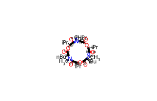 CCCC[C@H]1C(=O)O[C@H](C(C)C)C(=O)N(C)[C@@H](C(C)C)C(=O)O[C@H](C(C)C)C(=O)N(C)[C@@H](C(C)CC)C(=O)O[C@H](C(C)C)C(=O)N1C